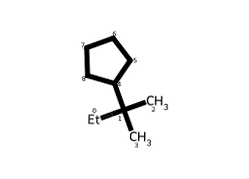 CCC(C)(C)C1CCCC1